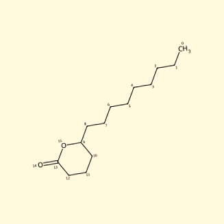 CCCCCCCCCC1CCCC(=O)O1